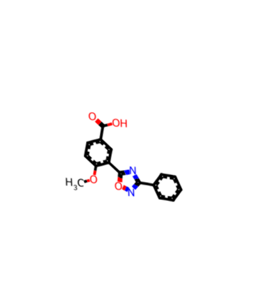 COc1ccc(C(=O)O)cc1-c1nc(-c2ccccc2)no1